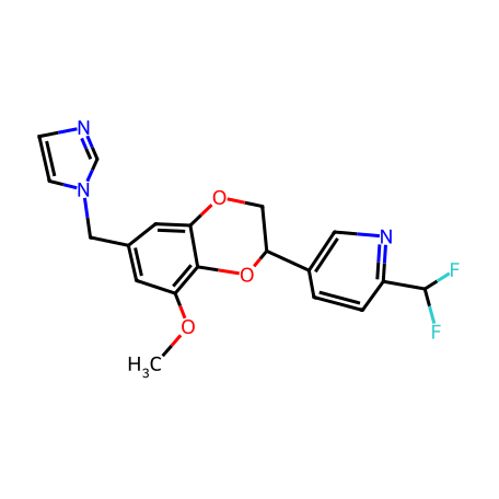 COc1cc(Cn2ccnc2)cc2c1OC(c1ccc(C(F)F)nc1)CO2